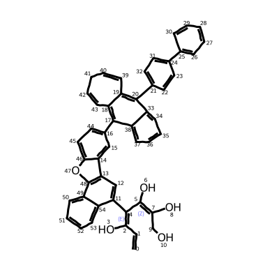 C=C/C(O)=C(\C(O)=C(\O)CO)c1cc2c3cc(-c4c5c(c(-c6ccc(-c7ccccc7)cc6)c6ccccc46)C=CCC=C5)ccc3oc2c2ccccc12